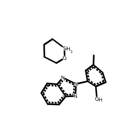 C1CC[SiH2]OC1.Cc1ccc(O)c(-n2nc3ccccc3n2)c1